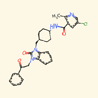 Cc1ncc(Cl)cc1C(=O)N[C@H]1CC[C@H](Cn2c(=O)n(CC(=O)c3ccccc3)c3ccccc32)CC1